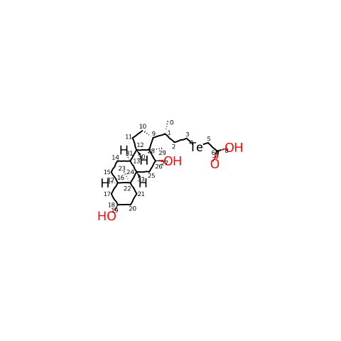 C[C@H](CC[Te]CC(=O)O)[C@H]1CC[C@H]2[C@@H]3CC[C@@H]4C[C@H](O)CC[C@]4(C)[C@H]3C[C@H](O)[C@]12C